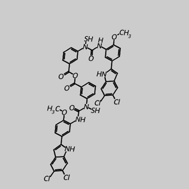 COc1ccc(-c2cc3cc(Cl)c(Cl)cc3[nH]2)cc1NC(=O)N(S)c1cccc(C(=O)OC(=O)c2cccc(N(S)C(=O)Nc3cc(-c4cc5cc(Cl)c(Cl)cc5[nH]4)ccc3OC)c2)c1